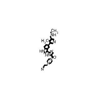 CCNCc1cncc(-c2ccc3[nH]nc(-c4ncc(C(=O)N5CCN(CCC#N)CC5)[nH]4)c3c2)c1C